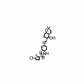 CC1(C)C=Cc2c(ccc(/C=N/c3ccc(NS(=O)(=O)c4ccc(Cl)s4)cc3)c2O)O1